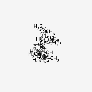 CC12CC3CC(C)(C1)CC(c1cc(C(C)(C)C)cc(CSC4CCCCCC[C@@H]4SCc4cc(C(C)(C)C)cc(C56CC7CC(C)(CC(C)(C7)C5)C6)c4O)c1O)(C3)C2